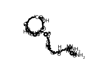 CO[C@H]1C[C@@H]2CC[C@@H](C)[C@@](O)(O2)C(=O)C(=O)N2CCCC[C@H]2C(=O)O[C@H]([C@H](C)C[C@@H]2CC[C@@H](OCCOCc3cn(C(C)(C)CCOC(C)(C)CCC(=O)NCCCCn4nc(-c5ccc6oc(N)nc6c5)c5c(N)ncnc54)nn3)[C@H](OC)C2)CC(=O)[C@H](C)/C=C(\C)[C@@H](O)[C@@H](OC)C(=O)[C@H](C)C[C@H](C)/C=C/C=C/C=C/1C